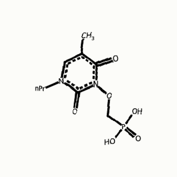 CCCn1cc(C)c(=O)n(OCP(=O)(O)O)c1=O